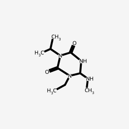 CCN1C(=O)N(C(C)C)C(=O)NC1NC